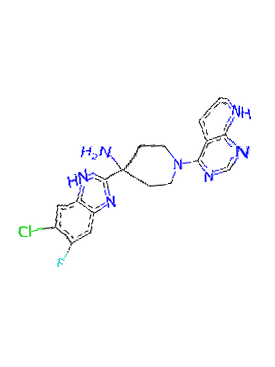 NC1(c2nc3cc(F)c(Cl)cc3[nH]2)CCN(c2ncnc3[nH]ccc23)CC1